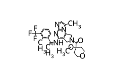 COC1(C(=O)N2Cc3c(N[C@H](C)c4cccc(C(F)(F)F)c4C)nc4ncc(C)n4c3C2)CCOCC1